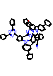 N#Cc1ccc(-n2c3ccc(-c4ccccc4)cc3c3cc(-c4ccccc4)ccc32)c(-c2nc(-c3ccccc3)nc(-c3cc(-c4nc(-c5ccccc5)nc(-c5ccccc5)n4)ccc3-n3c4ccc(-c5ccccc5)cc4c4cc(-c5ccccc5)ccc43)n2)c1